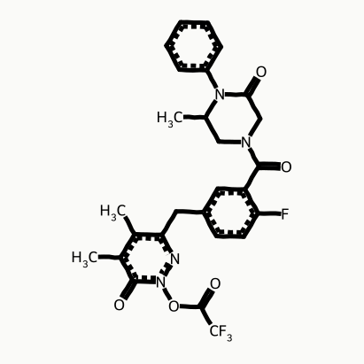 Cc1c(Cc2ccc(F)c(C(=O)N3CC(=O)N(c4ccccc4)C(C)C3)c2)nn(OC(=O)C(F)(F)F)c(=O)c1C